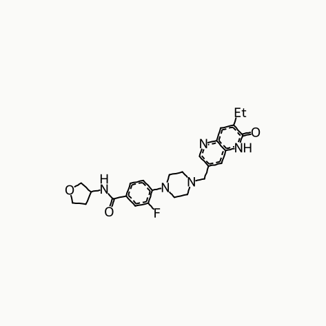 CCc1cc2ncc(CN3CCN(c4ccc(C(=O)NC5CCOC5)cc4F)CC3)cc2[nH]c1=O